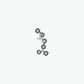 C1=CCC(N(c2ccccc2)c2ccc(-c3cccc(Nc4cccc(-c5ccccc5)n4)n3)cc2)C=C1